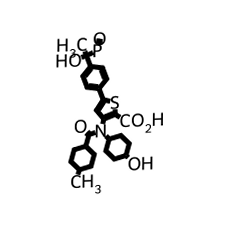 CC1CCC(C(=O)N(c2cc(-c3ccc(C(C)(O)P=O)cc3)sc2C(=O)O)C2CCC(O)CC2)CC1